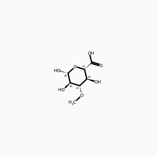 CO[C@@H]1[C@@H](O)[C@H](O)O[C@H](C(=O)O)[C@H]1O